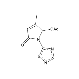 CC(=O)OC1C(C)=CC(=O)N1c1ncns1